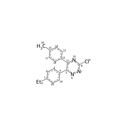 CCc1ccc(-c2nnc(Cl)nc2-c2ccc(C)cc2)cc1